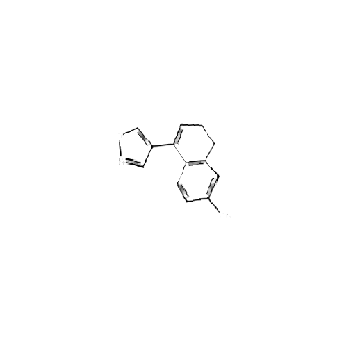 N#Cc1ccc2c(c1)CCC=C2c1cnoc1